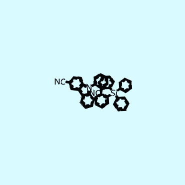 N#Cc1ccc2c(c1)c1ccccc1n2-c1ccccc1-c1ccccc1[Si](c1ccccc1)(c1ccccc1)c1ccccc1C#N